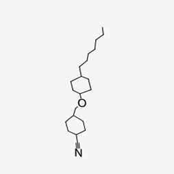 CCCCCCCC1CCC(OCC2CCC(C#N)CC2)CC1